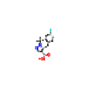 CC(C)(C)n1ncc(C(=O)O)c1Cc1ccc(F)cc1